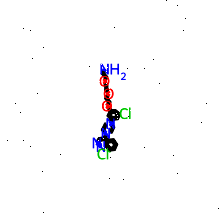 NCCOCCOCCOc1cc(Cl)cc(N2CCN(c3cnnc4c(Cl)cccc34)CC2)c1